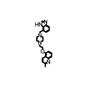 Cc1ccc2c(OCCN3CCN(Cc4cccc5nc[nH]c45)CC3)cccc2n1